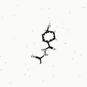 CC(=N)NNC(=O)c1ccc(Cl)cc1